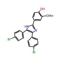 COc1cc(-c2nc(-c3ccc(Br)cc3)c(-c3ccc(Br)cc3)[nH]2)ccc1O